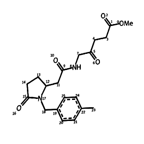 COC(=O)CCC(=O)CNC(=O)CC1CCC(=O)N1Cc1ccc(C)cc1